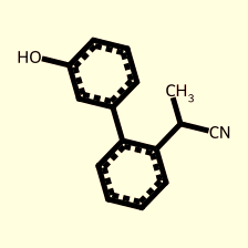 CC(C#N)c1ccccc1-c1cccc(O)c1